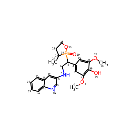 COc1cc(C(CNc2cnc3ccccc3c2)P2(=O)OCCC2C)cc(OC)c1O